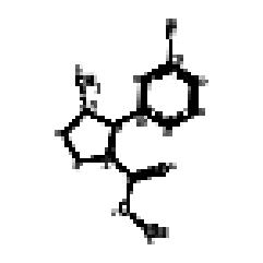 C[C@H]1CCN(C(=O)OC(C)(C)C)C1c1cccc(F)c1